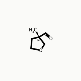 C[C@]1(C=O)CCOC1